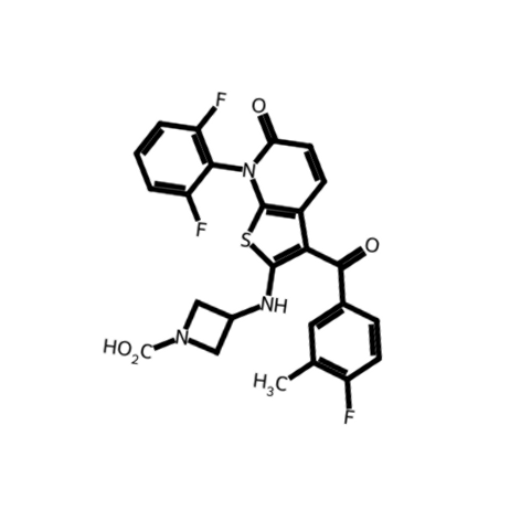 Cc1cc(C(=O)c2c(NC3CN(C(=O)O)C3)sc3c2ccc(=O)n3-c2c(F)cccc2F)ccc1F